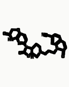 N#Cc1ccc2ccc(=O)n(CCCN3CCC4[C@@H](C3)OC(=O)N4c3ccc4c(n3)NC(=O)CO4)c2c1